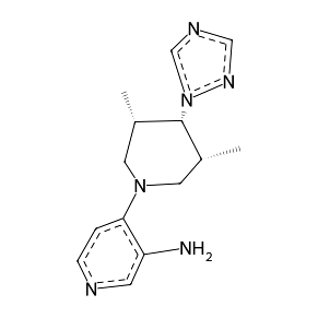 C[C@@H]1CN(c2ccncc2N)C[C@H](C)[C@@H]1n1cncn1